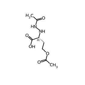 CC(=O)NN[C@H](CCOC(C)=O)C(=O)O